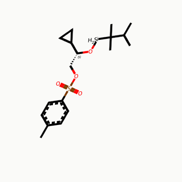 Cc1ccc(S(=O)(=O)OC[C@@H](O[SiH2]C(C)(C)C(C)C)C2CC2)cc1